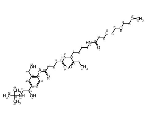 CCC(=O)C(CCCCNC(=O)CCOCCOCCOC)NC(=O)CCCC(=O)Oc1ccc(C(O)CNC(C)(C)C)cc1CO